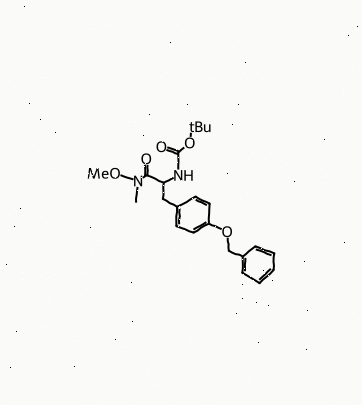 CON(C)C(=O)C(Cc1ccc(OCc2ccccc2)cc1)NC(=O)OC(C)(C)C